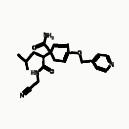 CC(C)CC(C(=O)NCC#N)C1(C(N)=O)C=CC(OCc2ccncc2)=CC1